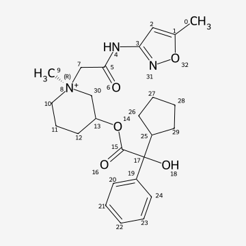 Cc1cc(NC(=O)C[N@+]2(C)CCCC(OC(=O)C(O)(c3ccccc3)C3CCCC3)C2)no1